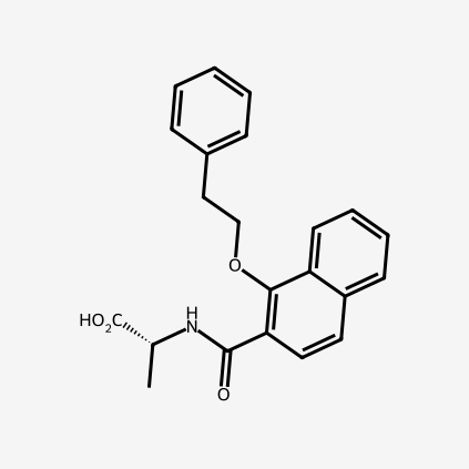 C[C@@H](NC(=O)c1ccc2ccccc2c1OCCc1ccccc1)C(=O)O